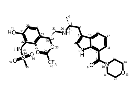 C[C@H](Cc1c[nH]c2c(C(=O)N3CCOCC3)cccc12)NC[C@H](OC(=O)C(F)(F)F)c1ccc(O)c(NS(C)(=O)=O)c1